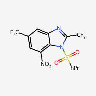 CCCS(=O)(=O)n1c(C(F)(F)F)nc2cc(C(F)(F)F)cc([N+](=O)[O-])c21